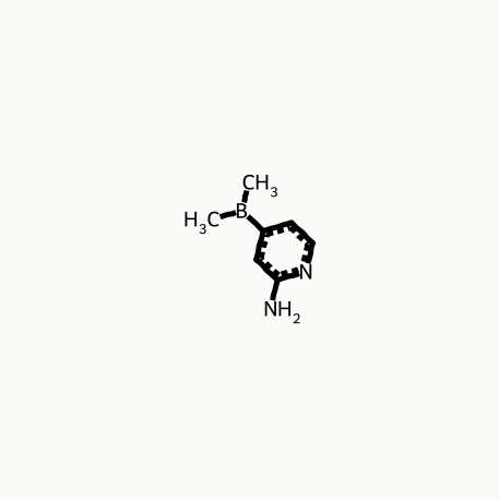 CB(C)c1ccnc(N)c1